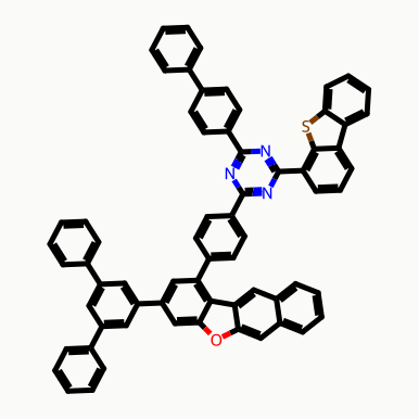 c1ccc(-c2ccc(-c3nc(-c4ccc(-c5cc(-c6cc(-c7ccccc7)cc(-c7ccccc7)c6)cc6oc7cc8ccccc8cc7c56)cc4)nc(-c4cccc5c4sc4ccccc45)n3)cc2)cc1